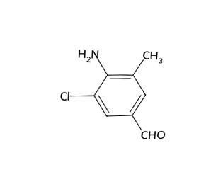 Cc1cc(C=O)cc(Cl)c1N